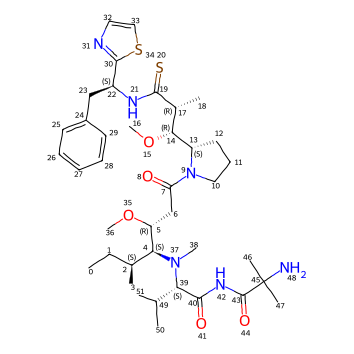 CC[C@H](C)[C@@H]([C@@H](CC(=O)N1CCC[C@H]1[C@H](OC)[C@@H](C)C(=S)N[C@@H](Cc1ccccc1)c1nccs1)OC)N(C)[C@H](C(=O)NC(=O)C(C)(C)N)C(C)C